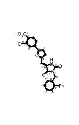 O=C(O)c1ccc(-c2ccc(/C=C3\NC(=O)N(Cc4ccccc4F)C3=O)o2)cc1Cl